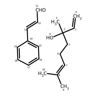 C=CC(C)(O)CCC=C(C)C.O=C/C=C/c1ccccc1